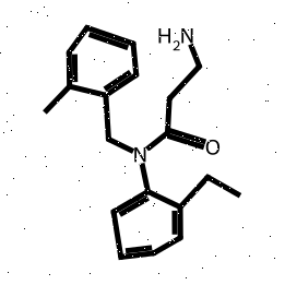 CCc1ccccc1N(Cc1ccccc1C)C(=O)CCN